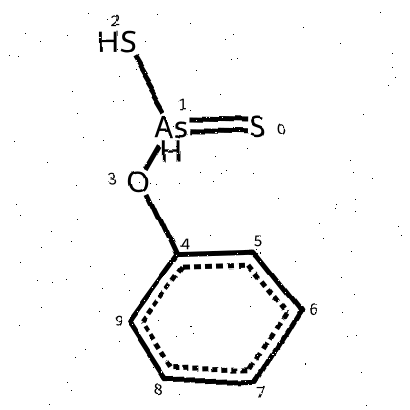 S=[AsH](S)Oc1ccccc1